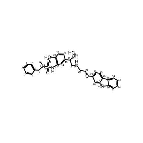 CN(Cc1ccccc1)S(=O)(=O)Nc1cc(C(O)CNCCOc2ccc3c(c2)[nH]c2ccccc23)ccc1O.Cl